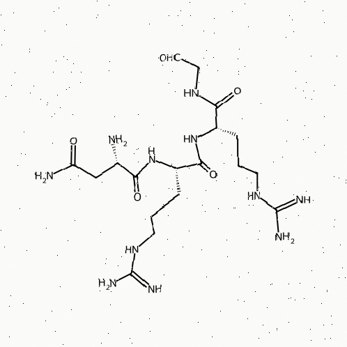 N=C(N)NCCC[C@H](NC(=O)[C@H](CCCNC(=N)N)NC(=O)[C@@H](N)CC(N)=O)C(=O)NC[C]=O